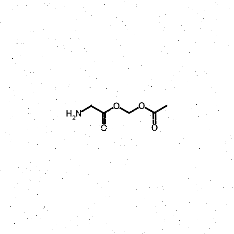 CC(=O)OCOC(=O)CN